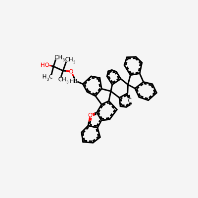 CC(C)(O)C(C)(C)OBc1ccc2c(c1)-c1c(ccc3c1oc1ccccc13)C21c2ccccc2C2(c3ccccc3-c3ccccc32)c2ccccc21